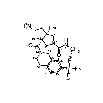 CNC(=O)N1C[C@@H]2C[C@@H](N)C[C@]2(C(=O)N2CCc3ncc(C(F)(F)F)cc3C2)C1